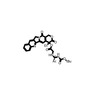 CCC1(OC(=O)CN[C@@H](NC(=O)OC(C)(C)C)C(C)=O)C(=O)OCc2c1cc1n(c2=O)Cc2cc3ccccc3nc2-1